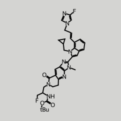 Cn1c(-c2cc3cccc(C=CCn4cnc(F)c4)c3n2CC2CC2)nc2cc3c(nc21)CCN(CC(CF)NC(=O)OC(C)(C)C)C3=O